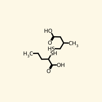 CC(CS)CC(=O)O.CCCC(S)C(=O)O